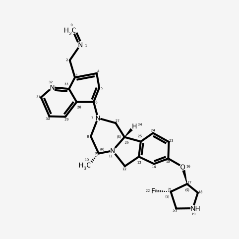 C=NCc1ccc(N2C[C@@H](C)N3Cc4cc(O[C@H]5CNC[C@@H]5F)ccc4[C@H]3C2)c2cccnc12